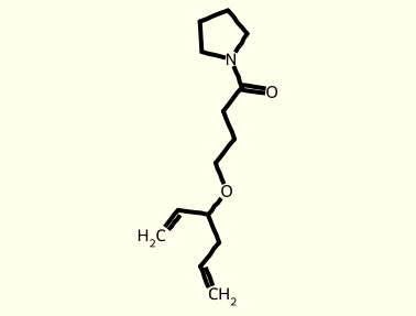 C=CCC(C=C)OCCCC(=O)N1CCCC1